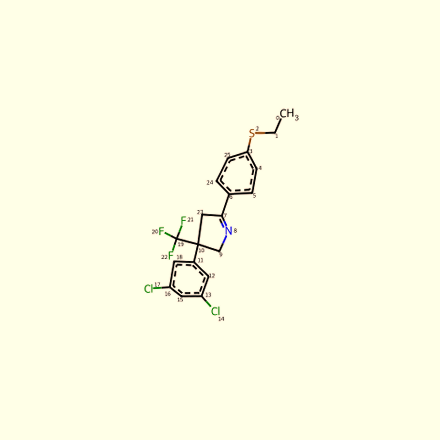 CCSc1ccc(C2=NCC(c3cc(Cl)cc(Cl)c3)(C(F)(F)F)C2)cc1